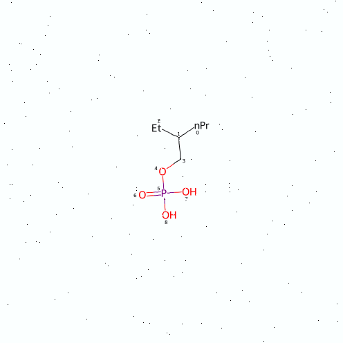 CCCC(CC)COP(=O)(O)O